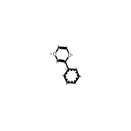 C1=COC(c2ccccc2)=CO1